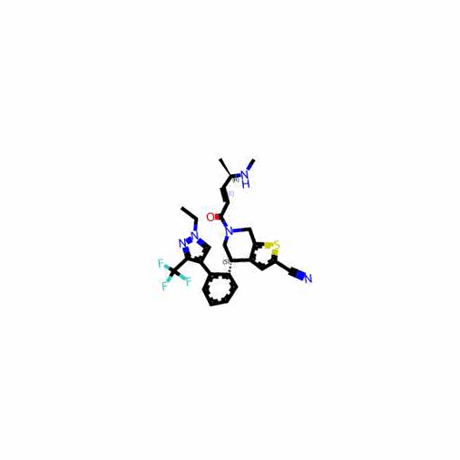 CCn1cc(-c2ccccc2[C@@H]2CN(C(=O)/C=C/[C@@H](C)NC)Cc3sc(C#N)cc32)c(C(F)(F)F)n1